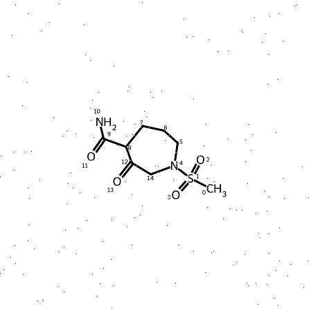 CS(=O)(=O)N1CCCC(C(N)=O)C(=O)C1